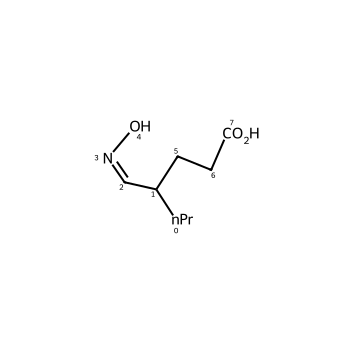 CCCC(/C=N\O)CCC(=O)O